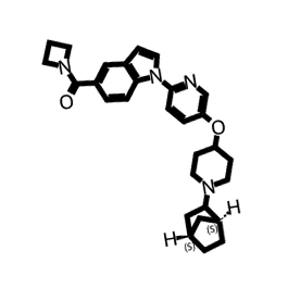 O=C(c1ccc2c(ccn2-c2ccc(OC3CCN(C4C[C@H]5CC[C@H]4C5)CC3)cn2)c1)N1CCC1